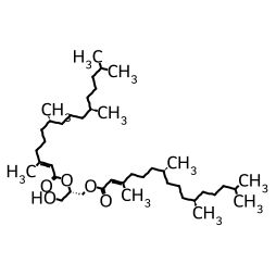 C/C(=C\C(=O)OC[C@H](CO)OC(=O)/C=C(\C)CCC[C@H](C)CCC[C@H](C)CCCC(C)C)CCC[C@H](C)CCC[C@H](C)CCCC(C)C